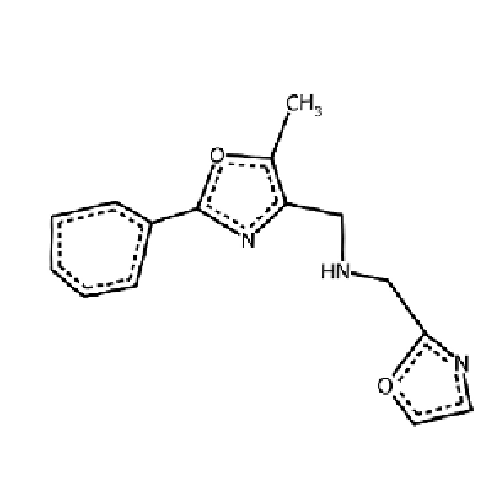 Cc1oc(-c2ccccc2)nc1CNCc1ncco1